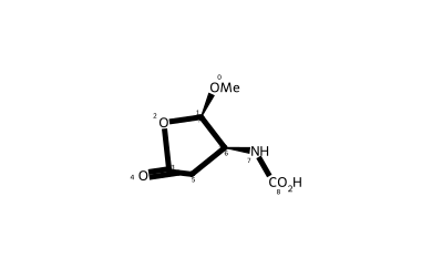 CO[C@@H]1OC(=O)C[C@@H]1NC(=O)O